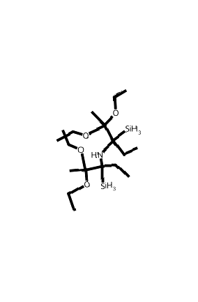 CCOC(C)(OCC)C([SiH3])(CC)NC([SiH3])(CC)C(C)(OCC)OCC